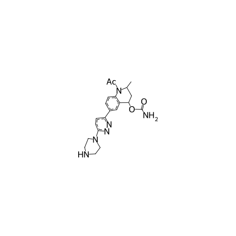 CC(=O)N1c2ccc(-c3ccc(N4CCNCC4)nn3)cc2C(OC(N)=O)CC1C